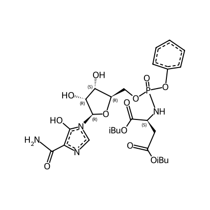 CC(C)COC(=O)C[C@H](NP(=O)(OC[C@H]1O[C@@H](n2cnc(C(N)=O)c2O)[C@H](O)[C@@H]1O)Oc1ccccc1)C(=O)OCC(C)C